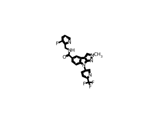 Cn1cc2c3cc(C(=O)NCc4ncccc4F)ccc3n(-c3ccc(C(F)(F)F)nc3)c2n1